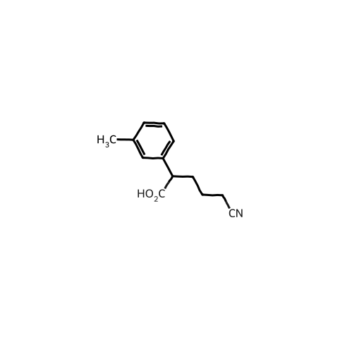 Cc1cccc(C(CCCC#N)C(=O)O)c1